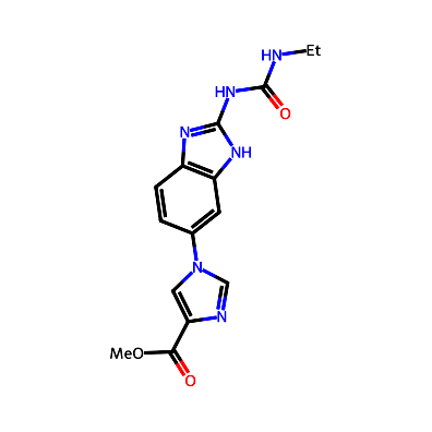 CCNC(=O)Nc1nc2ccc(-n3cnc(C(=O)OC)c3)cc2[nH]1